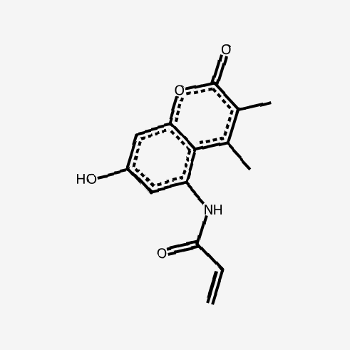 C=CC(=O)Nc1cc(O)cc2oc(=O)c(C)c(C)c12